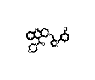 O=C(c1c2c(nc3ccccc13)CCN(Cc1ccnn1-c1cccc(Cl)c1)C2)N1CCOCC1